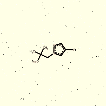 COC(C)(C)Cn1cc(C(C)C)cn1